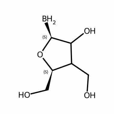 B[C@@H]1O[C@H](CO)C(CO)C1O